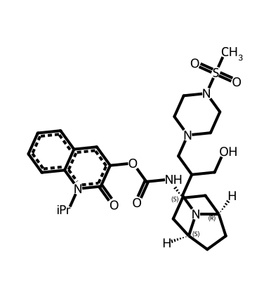 CC(C)n1c(=O)c(OC(=O)N[C@@H]2C[C@H]3CC[C@@H](C2)N3CC(CO)CN2CCN(S(C)(=O)=O)CC2)cc2ccccc21